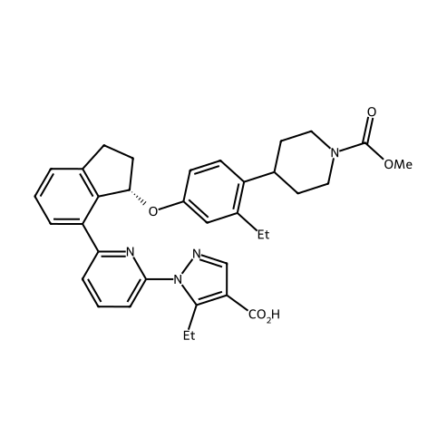 CCc1cc(O[C@H]2CCc3cccc(-c4cccc(-n5ncc(C(=O)O)c5CC)n4)c32)ccc1C1CCN(C(=O)OC)CC1